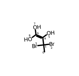 CC(Br)(Br)C(O)=C(O)O